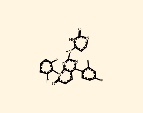 Cc1cc(F)ccc1-c1nc(Nc2ccnc(=O)[nH]2)nc2c1ccc(=O)n2-c1c(F)cccc1F